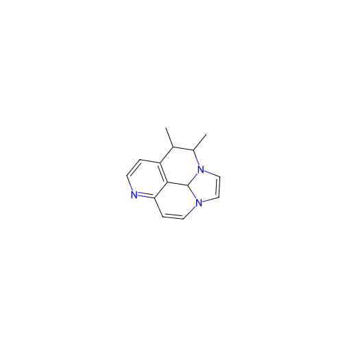 CC1c2ccnc3c2C2N(C=C3)C=CN2C1C